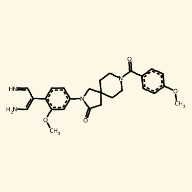 COc1ccc(C(=O)N2CCC3(CC2)CC(=O)N(c2ccc(/C(C=N)=C/N)c(OC)c2)C3)cc1